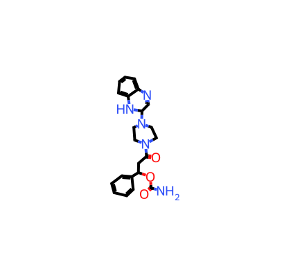 NC(=O)OC(CC(=O)N1CCN(C2C=Nc3ccccc3N2)CC1)c1ccccc1